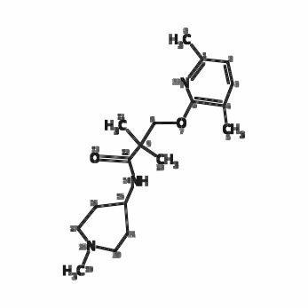 Cc1ccc(C)c(OCC(C)(C)C(=O)NC2CCN(C)CC2)n1